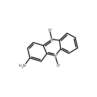 Nc1ccc2c(c1)[n+]([O-])c1ccccc1[n+]2[O-]